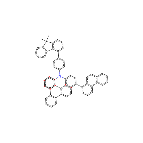 CC1(C)c2ccccc2-c2c(-c3ccc(N(c4ccc(-c5cccc6c5ccc5ccccc56)cc4)c4ccccc4-c4ccccc4-c4ccccc4-c4ccccc4)cc3)cccc21